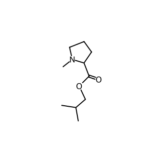 CC(C)COC(=O)C1CCCN1C